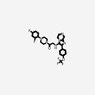 O=C(CNc1c(-c2ccc(OC(F)(F)F)cc2)nc2cnccn12)N1CCN(c2ccc(F)cc2F)CC1